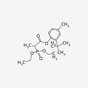 CCOP(=O)(OCC)C(C)C(=O)Oc1ccc(C)cc1C(C)(C)C